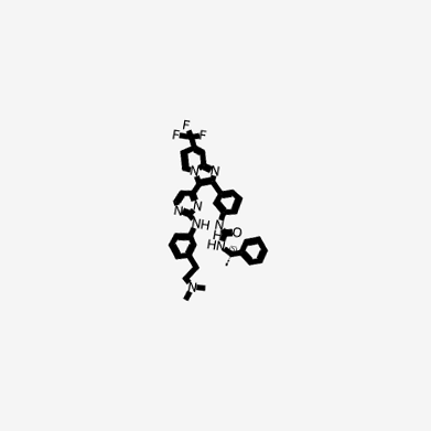 C[C@H](NC(=O)Nc1cccc(-c2nc3cc(C(F)(F)F)ccn3c2-c2ccnc(Nc3cccc(CCN(C)C)c3)n2)c1)c1ccccc1